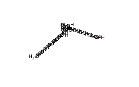 C#CCOCCOCCOCCOCCOCCOCCOCCOCCNC(=O)CN(CC(=O)NCCOCCOCCOCCOCCOCCOCCOCCOCCOCCOCCOCCOC)C(=O)OCC1c2ccccc2-c2ccccc21